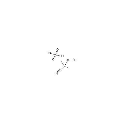 CC(C)(C#N)OS.O=S(=O)(O)O